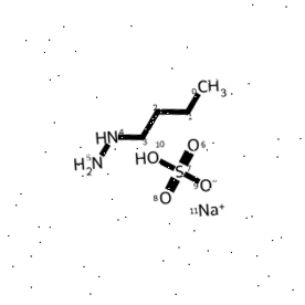 CCCCNN.O=S(=O)([O-])O.[Na+]